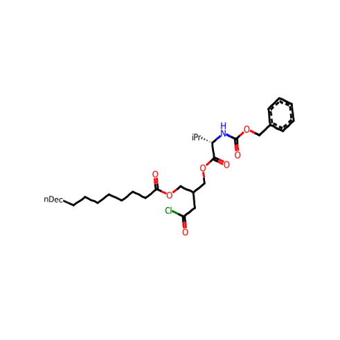 CCCCCCCCCCCCCCCCCC(=O)OCC(COC(=O)[C@@H](NC(=O)OCc1ccccc1)C(C)C)CC(=O)Cl